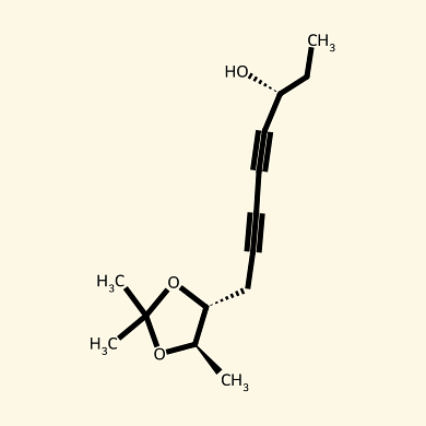 CC[C@@H](O)C#CC#CC[C@H]1OC(C)(C)O[C@@H]1C